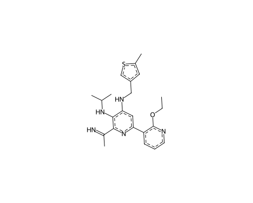 CCOc1ncccc1-c1cc(NCc2csc(C)c2)c(NC(C)C)c(C(C)=N)n1